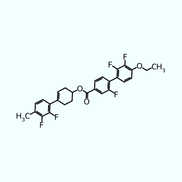 CCOc1ccc(-c2ccc(C(=O)OC3CC=C(c4ccc(C)c(F)c4F)CC3)cc2F)c(F)c1F